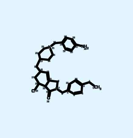 CCc1ccc(CN2CC3=CC(CC4CCN(Cc5ccc(N)cc5)CC4)CC(Cl)C3C2=O)cc1